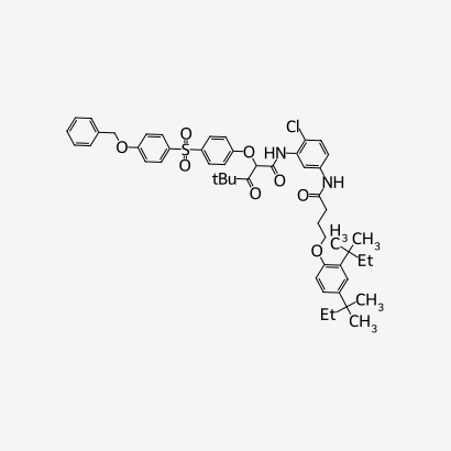 CCC(C)(C)c1ccc(OCCCC(=O)Nc2ccc(Cl)c(NC(=O)C(Oc3ccc(S(=O)(=O)c4ccc(OCc5ccccc5)cc4)cc3)C(=O)C(C)(C)C)c2)c(C(C)(C)CC)c1